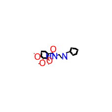 COc1ccc(C(=O)NCCN(C)Cc2ccccc2)c(OC)c1OC